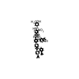 C[C@]1(O)CC[C@H](CNc2ncc(S(=O)(=O)NC(=O)c3ccc(N4CCC5(CC4)CC(N4CCN(C6CC6)C[C@H]4c4ccccc4C4CC4)C5)cc3Oc3cnc4[nH]ccc4c3)cc2[N+](=O)[O-])CC1